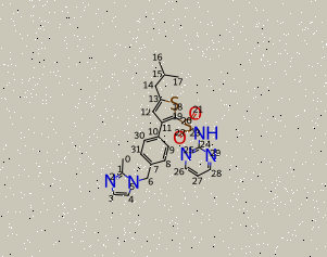 Cc1nccn1Cc1ccc(-c2cc(CC(C)C)sc2S(=O)(=O)Nc2ncccn2)cc1